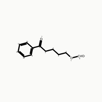 O=[C]OCCCCC(=O)c1ccccc1